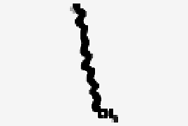 CCCCCCCCCCCCCCC[N]